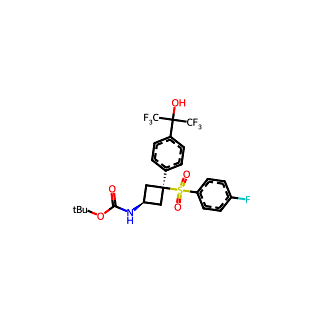 CC(C)(C)OC(=O)N[C@H]1C[C@@](c2ccc(C(O)(C(F)(F)F)C(F)(F)F)cc2)(S(=O)(=O)c2ccc(F)cc2)C1